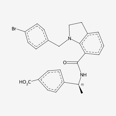 C[C@H](NC(=O)c1cccc2c1N(Cc1ccc(Br)cc1)CC2)c1ccc(C(=O)O)cc1